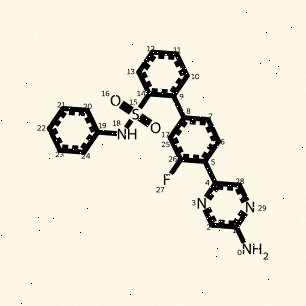 Nc1cnc(-c2ccc(-c3ccccc3S(=O)(=O)Nc3ccccc3)cc2F)cn1